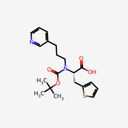 CC(C)(C)OC(=O)N(CCCc1cccnc1)[C@@H](Cc1cccs1)C(=O)O